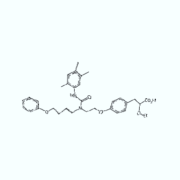 CCOC(Cc1ccc(OCCN(CCCCOc2ccccc2)C(=O)Nc2cc(C)c(C)cc2C)cc1)C(=O)O